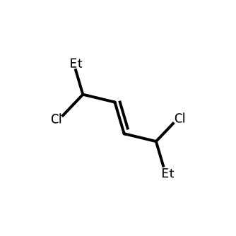 CCC(Cl)/C=C/C(Cl)CC